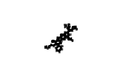 CCCc1c(C2CCCCC2)nc2n(c1=O)N=C(C)C2=Nc1ccc(N(CC)CC)cc1C